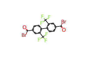 O=C(Br)c1ccc(-c2ccc(C(=O)Br)cc2C(F)(F)F)c(C(F)(F)F)c1